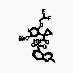 COc1cc(C2(C(=O)NS(=O)(=O)c3cccc4nc(C)ccc34)CC2)c(OCC(F)F)cn1